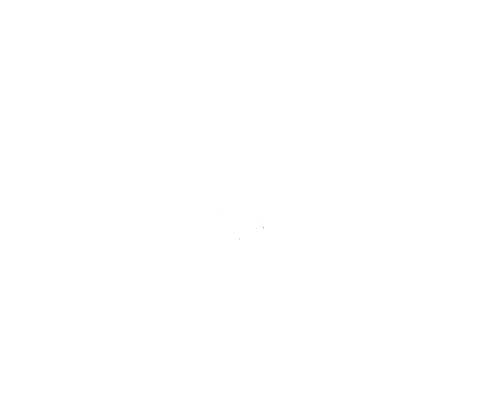 FN(c1ccccc1)C(F)(F)F